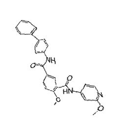 COc1cc(NC(=O)c2cc(C(=O)Nc3ccc(-c4ccccc4)cc3)ccc2OC)ccn1